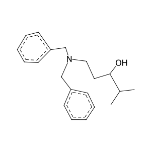 CC(C)C(O)CCN(Cc1ccccc1)Cc1ccccc1